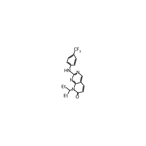 CCC(CC)n1c(=O)ccc2cnc(Nc3ccc(C(F)(F)F)cc3)nc21